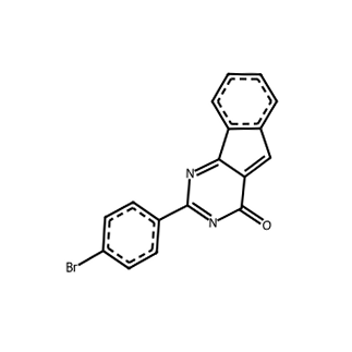 O=C1N=C(c2ccc(Br)cc2)N=C2C1=Cc1ccccc12